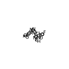 COc1ncc(-c2ccc3ncnc(N4CCN(C(=O)OC(C)(C)C)CC4)c3n2)cc1NS(=O)(=O)c1ccc(F)cc1Cl